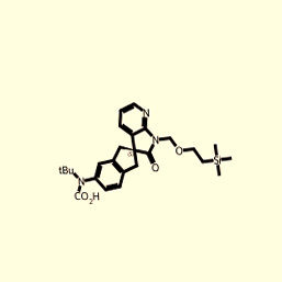 CC(C)(C)N(C(=O)O)c1ccc2c(c1)C[C@]1(C2)C(=O)N(COCC[Si](C)(C)C)c2ncccc21